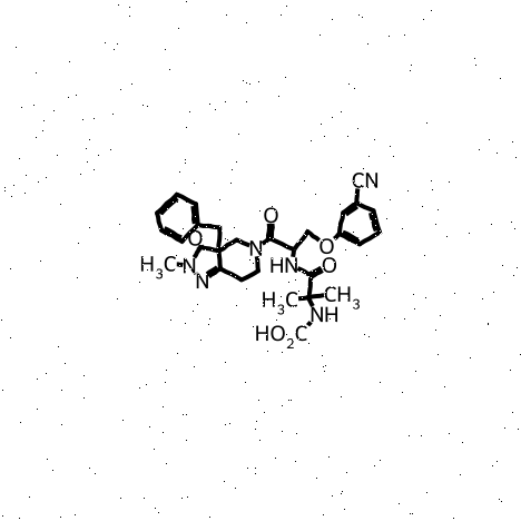 CN1N=C2CCN(C(=O)C(COc3cccc(C#N)c3)NC(=O)C(C)(C)NC(=O)O)CC2(Cc2ccccc2)C1=O